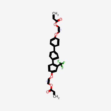 C=CC(=O)O/C=C\Oc1ccc(-c2ccc(-c3ccc(O/C=C\OC(=O)C=C)cc3C(F)(F)F)cc2)cc1